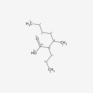 CCCCC(C)C(CCC)C(=O)O